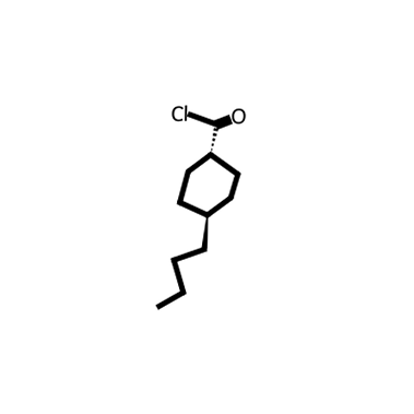 CCCC[C@H]1CC[C@H](C(=O)Cl)CC1